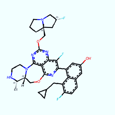 CC[C@@H]1NCCN2c3nc(OC[C@@]45CCCN4C[C@H](F)C5)nc4c(F)c(-c5cc(O)cc6ccc(F)c(CC7CC7)c56)nc(c34)OC[C@H]12